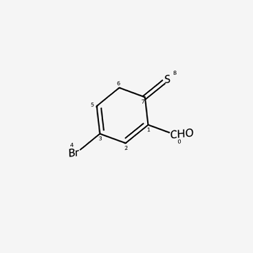 O=CC1=CC(Br)=CCC1=S